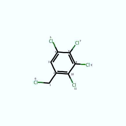 ClCc1cc(Cl)c(Cl)c(Cl)c1Cl